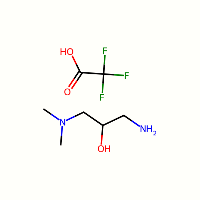 CN(C)CC(O)CN.O=C(O)C(F)(F)F